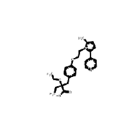 CCOC(CC)(Cc1ccc(OCCn2c(C)ccc2-c2ccncc2)cc1)C(=O)O